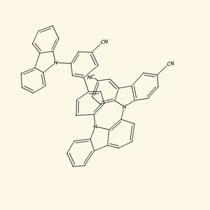 N#Cc1cc(-c2ccc(-n3c4ccccc4c4cccc(-n5c6ccc(C#N)cc6c6cc(C#N)ccc65)c43)cc2)cc(-n2c3ccccc3c3ccccc32)c1